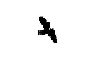 CC(C)(C)c1ccc(-c2nnc(-c3cc(O)cc(-c4nnc(-c5ccc(C(C)(C)C)cc5)o4)c3)o2)cc1